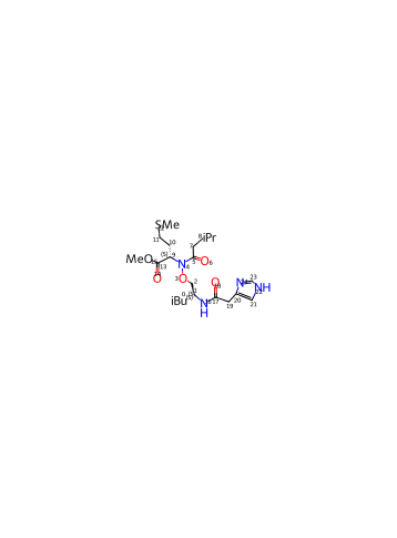 CC[C@H](C)[C@@H](CON(C(=O)CC(C)C)[C@@H](CCSC)C(=O)OC)NC(=O)Cc1c[nH]cn1